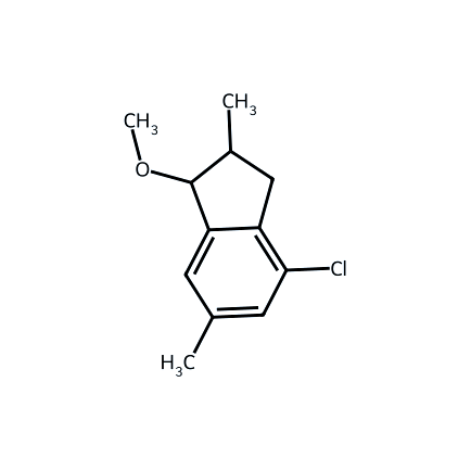 COC1c2cc(C)cc(Cl)c2CC1C